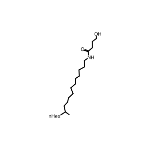 CCCCCCC(C)CCCCCCCCCCCNC(=O)CCCO